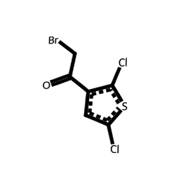 O=C(CBr)c1cc(Cl)sc1Cl